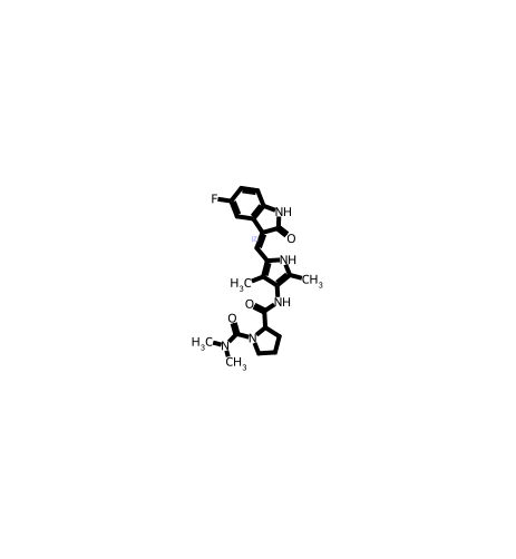 Cc1[nH]c(/C=C2\C(=O)Nc3ccc(F)cc32)c(C)c1NC(=O)C1CCCN1C(=O)N(C)C